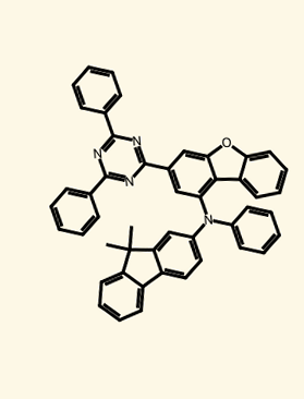 CC1(C)c2ccccc2-c2ccc(N(c3ccccc3)c3cc(-c4nc(-c5ccccc5)nc(-c5ccccc5)n4)cc4oc5ccccc5c34)cc21